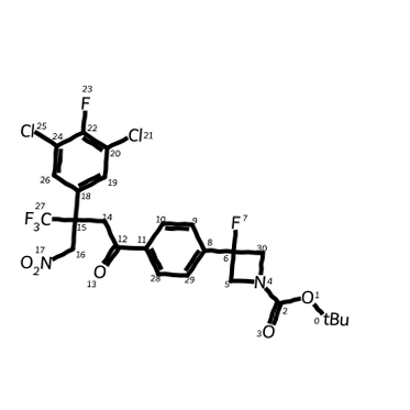 CC(C)(C)OC(=O)N1CC(F)(c2ccc(C(=O)CC(C[N+](=O)[O-])(c3cc(Cl)c(F)c(Cl)c3)C(F)(F)F)cc2)C1